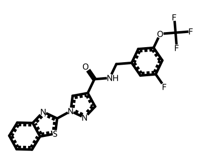 O=C(NCc1cc(F)cc(OC(F)(F)F)c1)c1cnn(-c2nc3ccccc3s2)c1